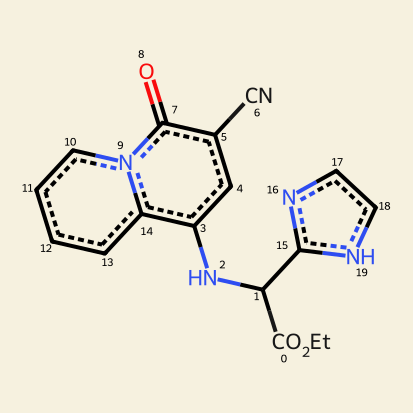 CCOC(=O)C(Nc1cc(C#N)c(=O)n2ccccc12)c1ncc[nH]1